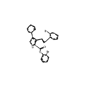 O=C(Oc1ccccc1Br)c1[nH]cc(-c2ccccc2)c1CCc1ccccc1Br